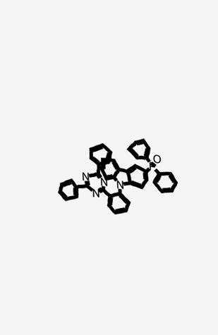 O=P(c1ccccc1)(c1ccccc1)c1ccc2c(c1)c1ccccc1n2-c1ccccc1-c1nc(-c2ccccc2)nc(-c2ccccc2)n1